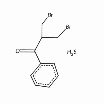 O=C(c1ccccc1)C(CBr)CBr.S